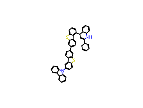 C1=CCC(C2=CC(c3cccc4sc5cc(-c6ccc7c(c6)sc6ccc(-n8c9ccccc9c9ccccc98)cc67)ccc5c34)C3C=CC=CC3N2)C=C1